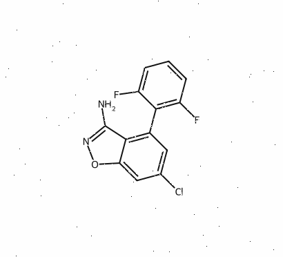 Nc1noc2cc(Cl)cc(-c3c(F)cccc3F)c12